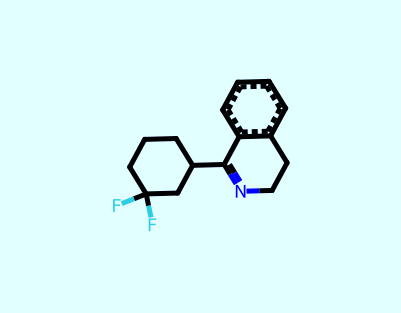 FC1(F)CCCC(C2=NCCc3ccccc32)C1